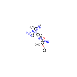 Cc1cc(-n2cccn2)nc2c1nc(-c1cccnc1N)n2-c1ccc2c(c1)CC[C@@H]2NC(=O)c1cc(C=O)c(OCc2ccccc2)cc1N=[N+]=[N-]